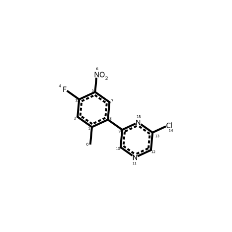 Cc1cc(F)c([N+](=O)[O-])cc1-c1cncc(Cl)n1